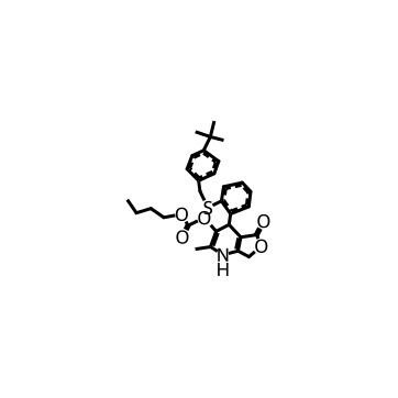 CCCCOC(=O)OC1=C(C)NC2=C(C(=O)OC2)C1c1ccccc1SCc1ccc(C(C)(C)C)cc1